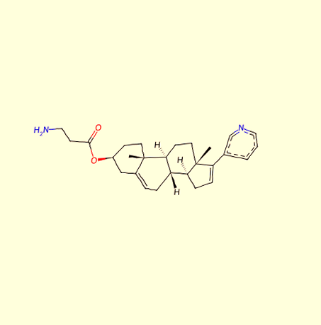 C[C@]12CC[C@H](OC(=O)CCN)CC1=CC[C@@H]1[C@@H]2CC[C@]2(C)C(c3cccnc3)=CC[C@@H]12